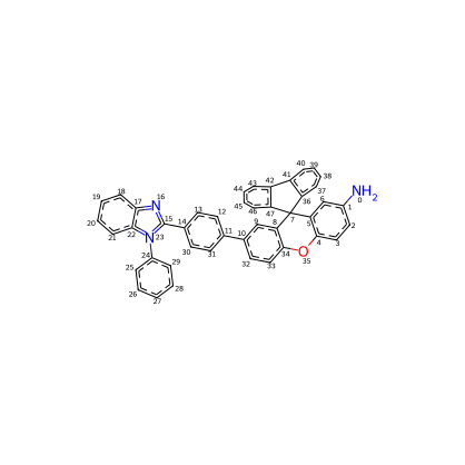 Nc1ccc2c(c1)C1(c3cc(-c4ccc(-c5nc6ccccc6n5-c5ccccc5)cc4)ccc3O2)c2ccccc2-c2ccccc21